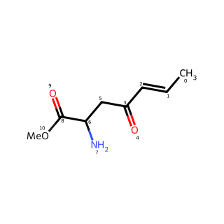 CC=CC(=O)CC(N)C(=O)OC